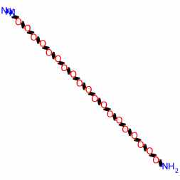 [N-]=[N+]=NCCOCCOCCOCCOCCOCCOCCOCCOCCOCCOCCOCCOCCOCCOCCOCCOCCOCCOCCOCCN